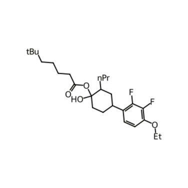 CCCC1CC(c2ccc(OCC)c(F)c2F)CCC1(O)OC(=O)CCCCC(C)(C)C